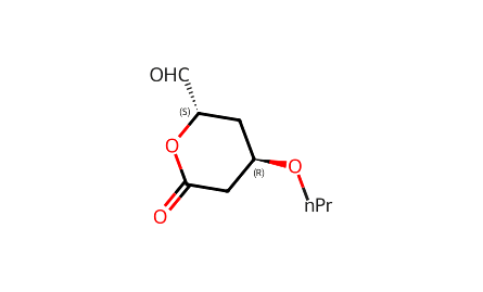 CCCO[C@H]1CC(=O)O[C@H](C=O)C1